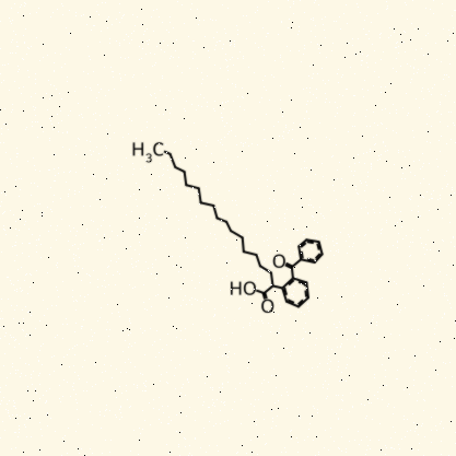 CCCCCCCCCCCCCCCCC(C(=O)O)c1ccccc1C(=O)c1ccccc1